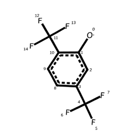 [O]c1cc(C(F)(F)F)ccc1C(F)(F)F